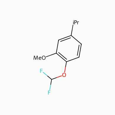 [CH2]C(C)c1ccc(OC(F)F)c(OC)c1